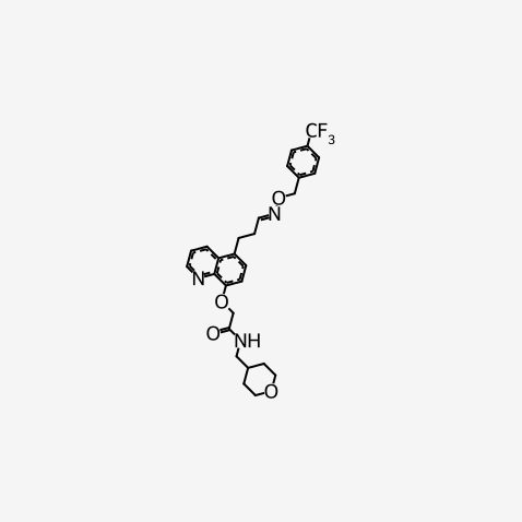 O=C(COc1ccc(CCC=NOCc2ccc(C(F)(F)F)cc2)c2cccnc12)NCC1CCOCC1